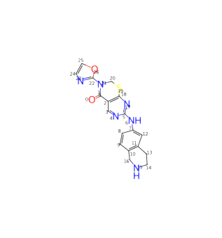 O=C1c2cnc(Nc3ccc4c(c3)CCNC4)nc2SCN1c1ncco1